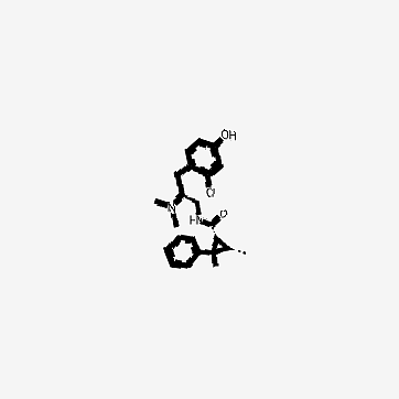 C[C@H]1[C@@H](C(=O)NC[C@H](Cc2ccc(O)cc2Cl)N(C)C)C1(C)c1ccccc1